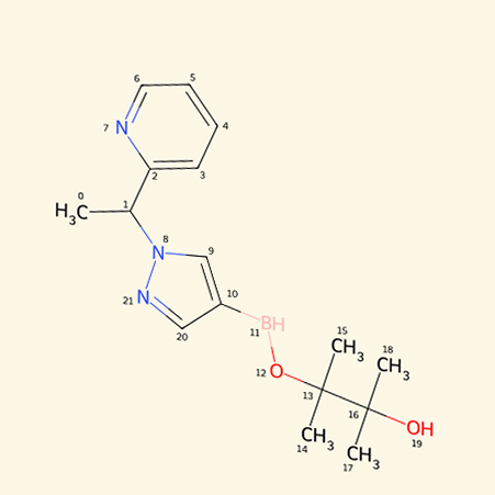 CC(c1ccccn1)n1cc(BOC(C)(C)C(C)(C)O)cn1